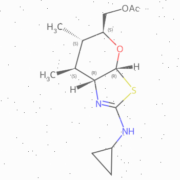 CC(=O)OC[C@H]1O[C@@H]2SC(NC3CC3)=N[C@@H]2[C@@H](C)[C@@H]1C